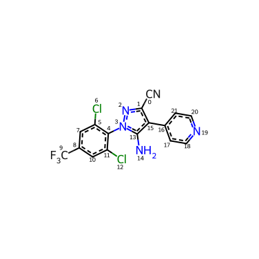 N#Cc1nn(-c2c(Cl)cc(C(F)(F)F)cc2Cl)c(N)c1-c1ccncc1